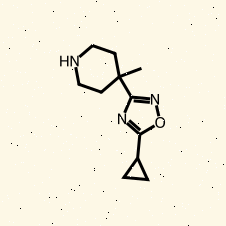 CC1(c2noc(C3CC3)n2)CCNCC1